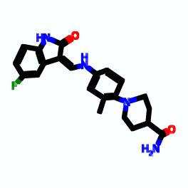 Cc1cc(NC=C2C(=O)Nc3ccc(F)cc32)ccc1N1CCC(C(N)=O)CC1